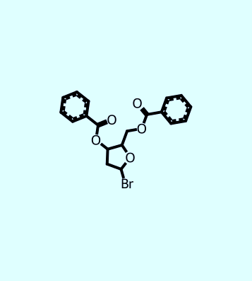 O=C(OCC1OC(Br)CC1OC(=O)c1ccccc1)c1ccccc1